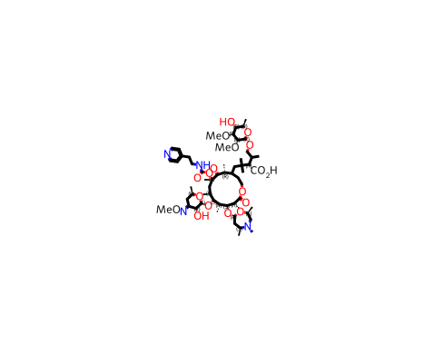 CON=C1C[C@@H](C)O[C@@H](O[C@@H]2[C@@H](C)[C@H](O[C@H]3C[C@H](C)N(C)C[C@H](C)O3)[C@@H](C)C(=O)OCCC(CC(C)(C)[C@H](C(=O)O)C(C)CO[C@@H]3O[C@H](C)[C@@H](O)[C@@H](OC)[C@H]3OC)[C@@H](C)C(=O)[C@@](C)(OC(=O)NCCc3ccncc3)C[C@@H]2C)[C@@H]1O